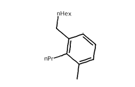 CCCCCCCc1[c]ccc(C)c1CCC